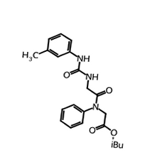 CC[C@@H](C)OC(=O)CN(C(=O)CNC(=O)Nc1cccc(C)c1)c1ccccc1